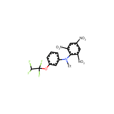 CCN(c1cccc(OC(F)(F)C(F)F)c1)c1c([N+](=O)[O-])cc([N+](=O)[O-])cc1[N+](=O)[O-]